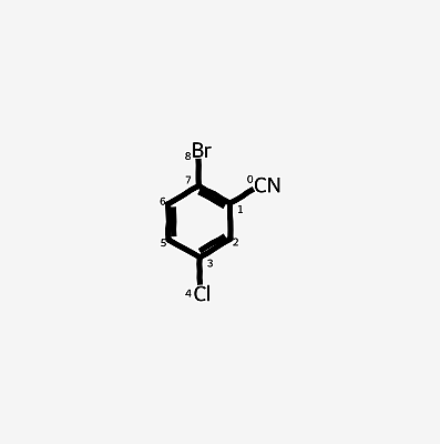 N#Cc1cc(Cl)ccc1Br